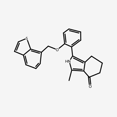 Cc1[nH]c(-c2ccccc2OCc2cccc3ccsc23)c2c1C(=O)CCC2